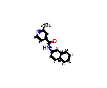 CC(C)(C)c1cc(C(=O)Nc2ccc3ccccc3c2)ccn1